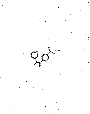 CCOC(=O)c1cnc(NC(C)c2cncnc2)nc1